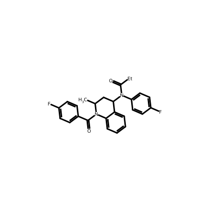 CCC(=O)N(c1ccc(F)cc1)C1CC(C)N(C(=O)c2ccc(F)cc2)c2ccccc21